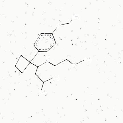 CCOc1ccc(C2(C(CC(C)C)NCCOC)CCC2)cc1